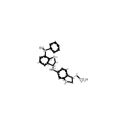 CCN(c1ccccc1)c1cccc2c1OC[C@H]2Nc1ccc2c(c1)OC[C@H]2CC(=O)O